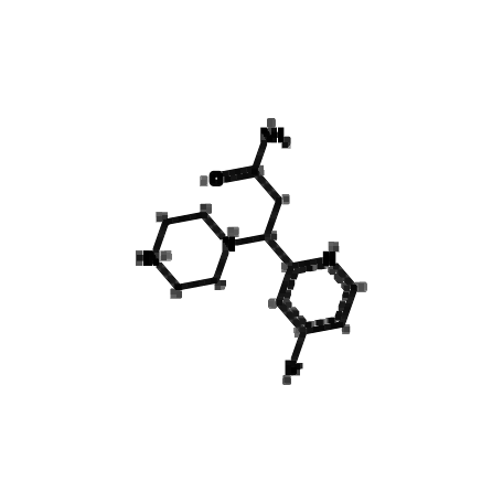 NC(=O)CC(c1cc(Br)ccn1)N1CCNCC1